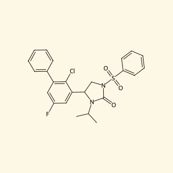 CC(C)N1C(=O)N(S(=O)(=O)c2ccccc2)CC1c1cc(F)cc(-c2ccccc2)c1Cl